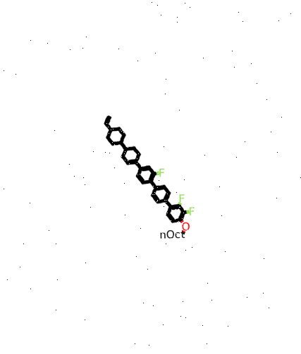 C=CC1CCC(C2CC=C(c3ccc(-c4ccc(-c5ccc(OCCCCCCCC)c(F)c5F)cc4)c(F)c3)CC2)CC1